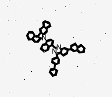 c1ccc(-c2ccc(-c3nc(-c4ccc(-n5c6cc7ccccc7cc6c6c7ccccc7ccc65)c5ccccc45)nc4cc(-c5ccc6ccccc6c5)ccc34)cc2)cc1